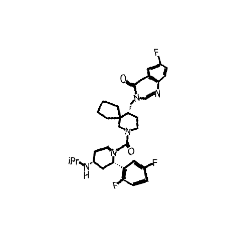 CC(C)N[C@@H]1CCN(C(=O)N2CC[C@@H](Cn3cnc4ccc(F)cc4c3=O)C3(CCCC3)C2)[C@H](c2cc(F)ccc2F)C1